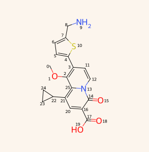 COc1c(-c2ccc(CN)s2)ccn2c(=O)c(C(=O)O)cc(C3CC3)c12